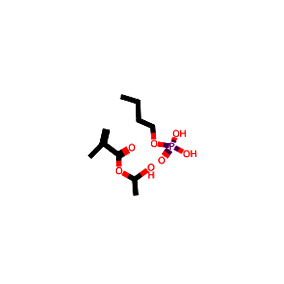 C=C(C)C(=O)OC(C)O.CCCCOP(=O)(O)O